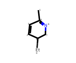 CCC1C=CC(C)=NC1